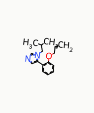 C=CCOc1ccccc1-c1cncn1CC(C)C